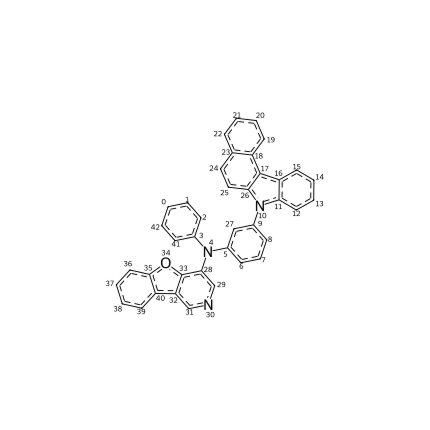 c1ccc(N(c2cccc(-n3c4ccccc4c4c5ccccc5ccc43)c2)c2cncc3c2oc2ccccc23)cc1